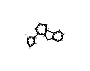 [CH]1c2ccccc2-c2cccc(-c3ccco3)c21